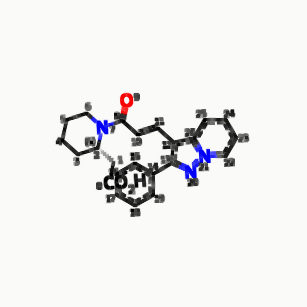 O=C(O)C[C@@H]1CCCCN1C(=O)C=Cc1c(-c2ccccc2)nn2ccccc12